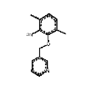 Cc1ccc(C)c(OCc2cccnc2)c1N=O